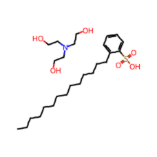 CCCCCCCCCCCCCCc1ccccc1S(=O)(=O)O.OCCN(CCO)CCO